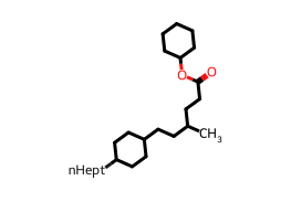 CCCCCCCC1CCC(CCC(C)CCC(=O)OC2CCCCC2)CC1